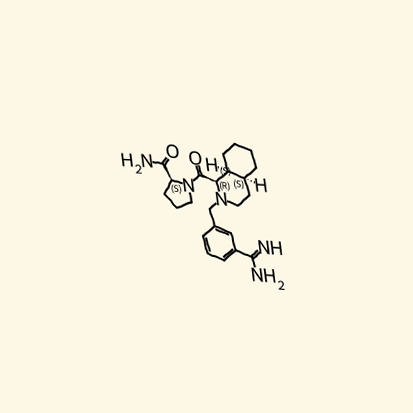 N=C(N)c1cccc(CN2CC[C@@H]3CCCC[C@@H]3[C@@H]2C(=O)N2CCC[C@H]2C(N)=O)c1